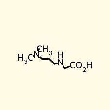 CN(C)CCCNCC(=O)O